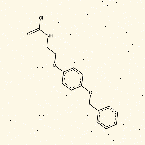 O=C(O)NCCOc1ccc(OCc2ccccc2)cc1